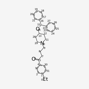 CCc1ccc(C(=O)CCCN2CCC(OC(c3ccccc3)c3ccccc3)CC2)cc1